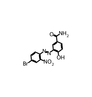 NC(=O)c1ccc(O)c(N=Nc2ccc(Br)cc2[N+](=O)[O-])c1